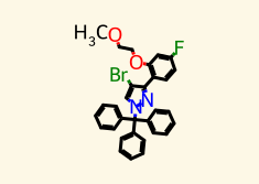 COCCOc1cc(F)ccc1-c1nn(C(c2ccccc2)(c2ccccc2)c2ccccc2)cc1Br